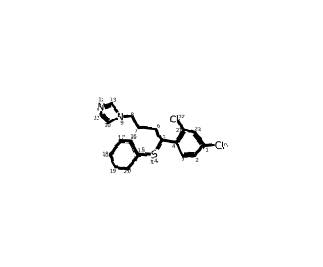 Clc1ccc(C(CCCn2ccnc2)SC2CCCCC2)c(Cl)c1